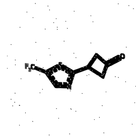 O=C1CC(c2ncc(C(F)(F)F)s2)C1